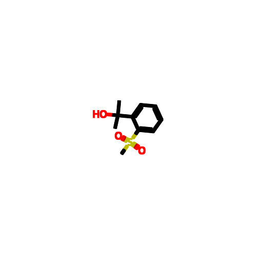 CC(C)(O)c1ccccc1S(C)(=O)=O